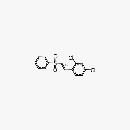 O=S(=O)(/C=C/c1ccc(Cl)cc1Cl)c1ccccc1